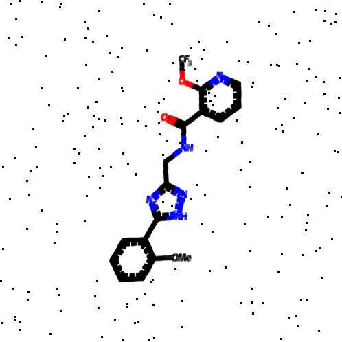 COc1ccccc1-c1nc(CNC(=O)c2cccnc2OC(F)(F)F)n[nH]1